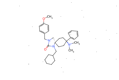 COc1ccc(CN2C[C@]3(CC[C@](c4ccccc4)(N(C)C)CC3)N(CC3CCCCC3)C2=O)cc1